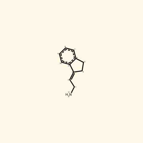 NCC=C1CCc2ccccc21